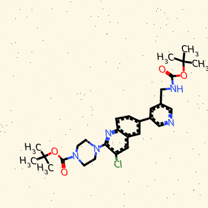 CC(C)(C)OC(=O)NCc1cncc(-c2ccc3nc(N4CCN(C(=O)OC(C)(C)C)CC4)c(Cl)cc3c2)c1